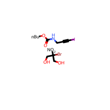 CCCCOC(=O)NCC#CI.O=[N+]([O-])C(Br)(CO)CO